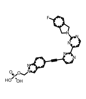 O=P(O)(O)OCn1cc2cc(C#Cc3ccnc(-c4ccnc(N5Cc6ccc(F)cc6C5)n4)n3)ccc2n1